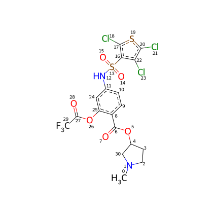 CN1CCC(OC(=O)c2ccc(NS(=O)(=O)c3c(Cl)sc(Cl)c3Cl)cc2OC(=O)C(F)(F)F)C1